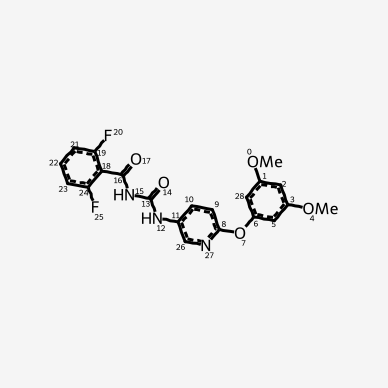 COc1cc(OC)cc(Oc2ccc(NC(=O)NC(=O)c3c(F)cccc3F)cn2)c1